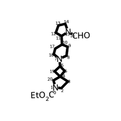 CCOC(=O)N1CCC2(CC(N3CCC(C4CCCN4C=O)CC3)C2)C1